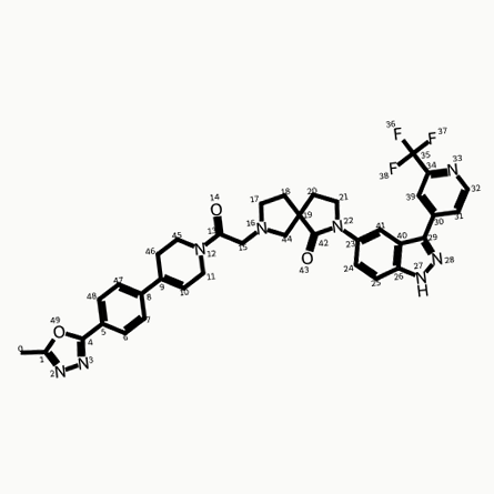 Cc1nnc(-c2ccc(C3=CCN(C(=O)CN4CCC5(CCN(c6ccc7[nH]nc(-c8ccnc(C(F)(F)F)c8)c7c6)C5=O)C4)CC3)cc2)o1